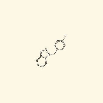 Fc1ccc(Cn2ncc3cc[c]cc32)cc1